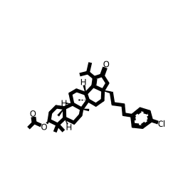 CC(=O)O[C@H]1CC[C@]2(C)[C@H]3CC[C@@H]4C5=C(C(C)C)C(=O)C[C@]5(CCCCc5ccc(Cl)cc5)CC[C@@]4(C)[C@]3(C)CC[C@H]2C1(C)C